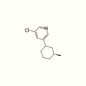 C[C@H]1CCCC(c2cncc(Cl)c2)C1